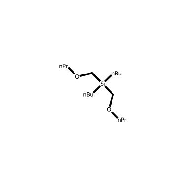 CCCC[Si](CCCC)(COCCC)COCCC